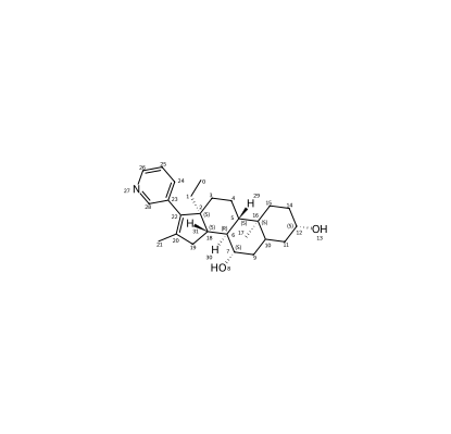 CC[C@]12CC[C@H]3[C@@H]([C@@H](O)CC4C[C@@H](O)CC[C@@]43C)[C@@H]1CC(C)=C2c1cccnc1